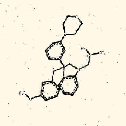 O[C@H](CN1CC(Cc2cccc(OC(F)(F)F)c2)(c2cccc(N3CCOCC3)c2)c2ccccc21)C(F)(F)F